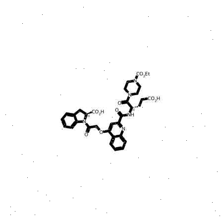 CCOC(=O)N1CCN(C(=O)[C@H](CCC(=O)O)NC(=O)c2cc(OCC(=O)N3c4ccccc4C[C@H]3C(=O)O)c3ccccc3n2)CC1